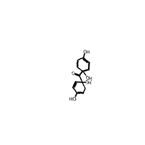 O=C(C1(O)C=CC(O)=CC1)C1(O)C=CC(O)=CC1